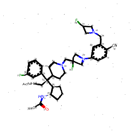 COC(=O)N[C@H]1CCC[C@@H]1[C@](CNC(C)=O)(c1cccc(F)c1)C1CCN(CC2(F)CN(c3ccc(C#N)c(CN4CC(F)C4)c3)C2)CC1